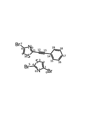 Brc1csc(Br)n1.Brc1csc(C#Cc2ccccc2)n1